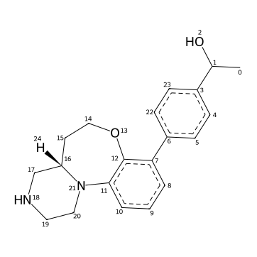 CC(O)c1ccc(-c2cccc3c2OCC[C@H]2CNCCN32)cc1